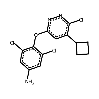 Nc1cc(Cl)c(Oc2cc(C3CCC3)c(Cl)nn2)c(Cl)c1